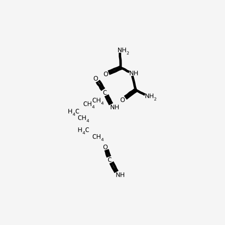 C.C.C.C.C.C.N=C=O.N=C=O.NC(=O)NC(N)=O